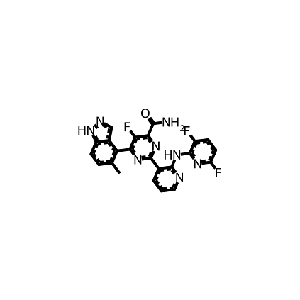 Cc1ccc2[nH]ncc2c1-c1nc(-c2cccnc2Nc2nc(F)ccc2F)nc(C(N)=O)c1F